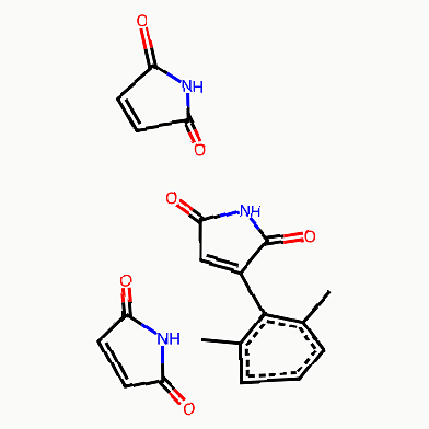 Cc1cccc(C)c1C1=CC(=O)NC1=O.O=C1C=CC(=O)N1.O=C1C=CC(=O)N1